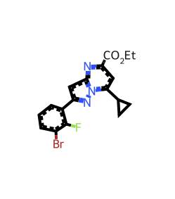 CCOC(=O)c1cc(C2CC2)n2nc(-c3cccc(Br)c3F)cc2n1